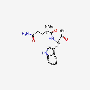 CN[C@@H](CCC(N)=O)C(=O)N[C@@H](Cc1c[nH]c2ccccc12)C(=O)C(C)(C)C